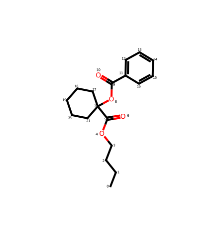 CCCCOC(=O)C1(OC(=O)c2ccccc2)CCCCC1